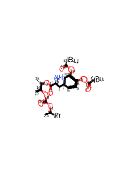 CCC(C)C(=O)Oc1ccc(C[C@H](N)C(=O)O[C@@H](C)C(C)OC(=O)OC(C)C(C)C)cc1OC(=O)C(C)CC